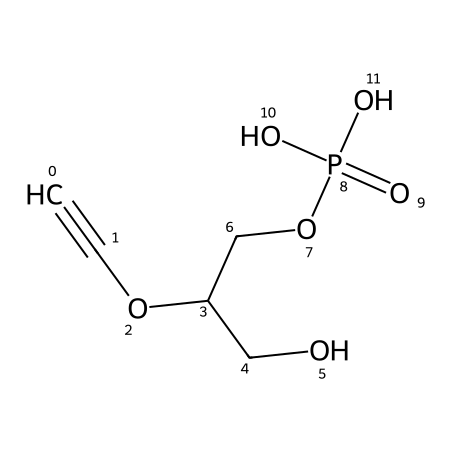 C#COC(CO)COP(=O)(O)O